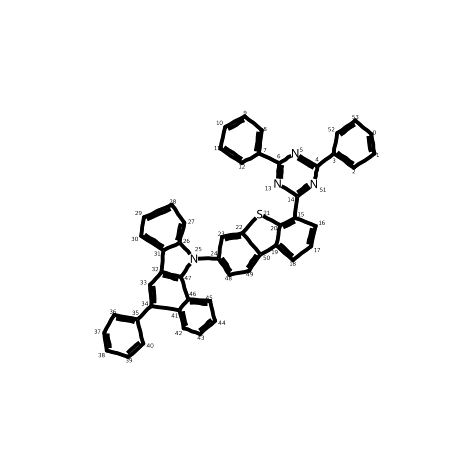 c1ccc(-c2nc(-c3ccccc3)nc(-c3cccc4c3sc3cc(-n5c6ccccc6c6cc(-c7ccccc7)c7ccccc7c65)ccc34)n2)cc1